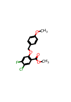 COC(=O)c1cc(Cl)c(F)cc1OCc1ccc(OC)cc1